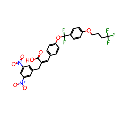 O=C(O)C(=Cc1ccc(OC(F)(F)c2ccc(OCCCC(F)(F)F)cc2)cc1)Cc1cc([N+](=O)[O-])cc([N+](=O)[O-])c1